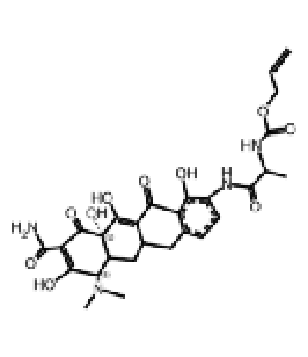 C=CCOC(=O)NC(C)C(=O)Nc1ccc2c(c1O)C(=O)C1=C(O)[C@]3(O)C(=O)C(C(N)=O)=C(O)[C@@H](N(C)C)C3CC1C2